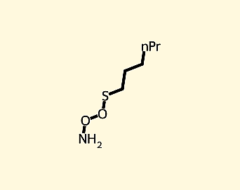 CCCCCCSOON